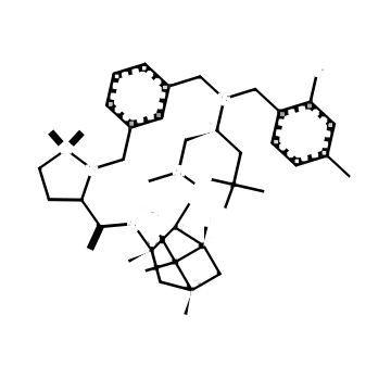 Cc1ccc(CN(Cc2cccc(CN3C(C(=O)N[C@H]4C[C@H]5C[C@@H]([C@@H]4C)C5(C)C)CCS3(=O)=O)c2)[C@H](CN(C)C)CC(C)(C)C)c(O)c1